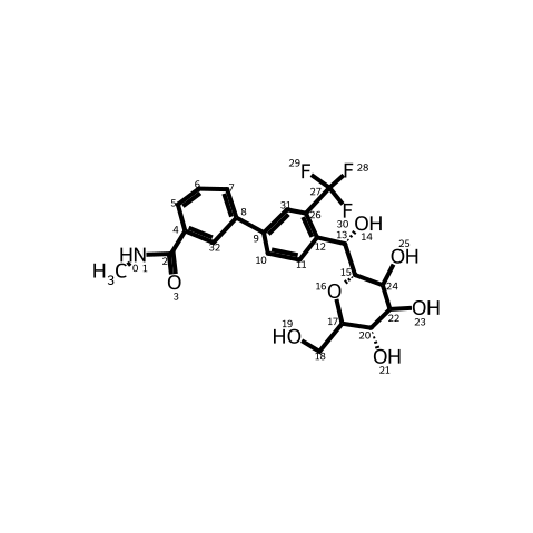 CNC(=O)c1cccc(-c2ccc([C@H](O)[C@H]3OC(CO)[C@@H](O)C(O)C3O)c(C(F)(F)F)c2)c1